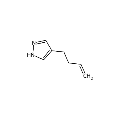 C=CC[CH]c1cn[nH]c1